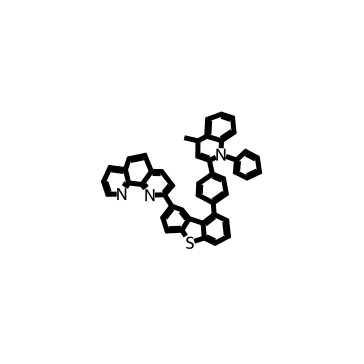 CC1C=C(c2ccc(-c3cccc4sc5ccc(-c6ccc7ccc8cccnc8c7n6)cc5c34)cc2)N(c2ccccc2)c2ccccc21